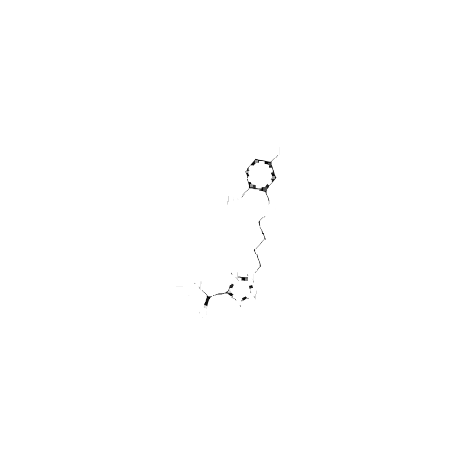 NC(=O)c1nnn(CCCCOc2cc(F)ccc2Br)n1